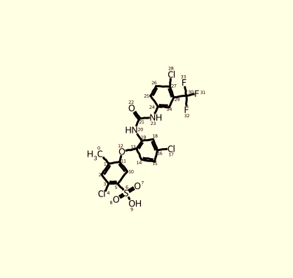 Cc1cc(Cl)c(S(=O)(=O)O)cc1Oc1ccc(Cl)cc1NC(=O)Nc1ccc(Cl)c(C(F)(F)F)c1